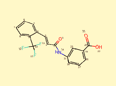 O=C(C=Cc1ccccc1C(F)(F)F)Nc1cccc(C(=O)O)c1